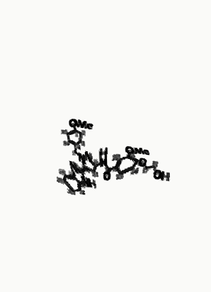 COc1ccc(Cn2nc(NC(=O)c3ccc(OCCO)c(OC)c3)cc2-c2nc3ccccc3[nH]2)cc1